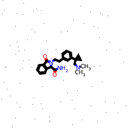 CN(C)CC1(c2cccc(CCN3C(=O)c4[c]cccc4C3C(N)=O)c2)CC1